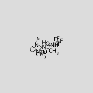 CC(C(=O)NCC(F)(F)C(F)(F)F)C(=O)N[C@H]1CN(CC2CC2)c2ccccc2N(C)C1=O